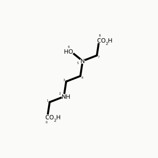 O=C(O)CNCCN(O)CC(=O)O